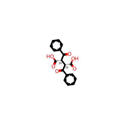 O=C(O)[C@H](C(=O)c1ccccc1)[C@H](C(=O)O)C(=O)c1ccccc1